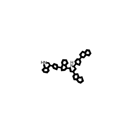 C1=C(c2ccc3ccccc3c2)C=C(c2ccc(-c3ccc(C4=c5ccccc5=CNC4)cc3)c3ccccc23)NC1c1ccc(-c2ccc3ccccc3c2)cc1